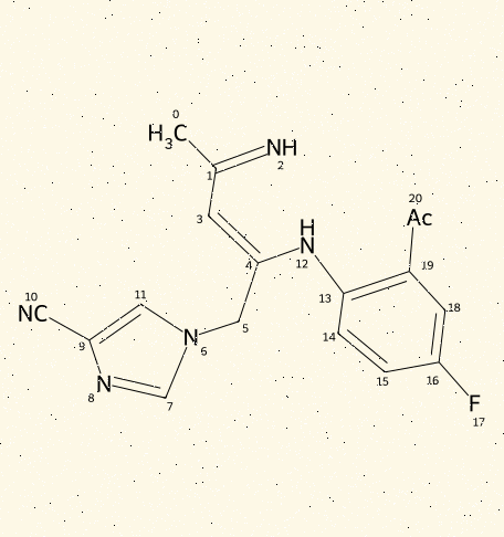 CC(=N)/C=C(/Cn1cnc(C#N)c1)Nc1ccc(F)cc1C(C)=O